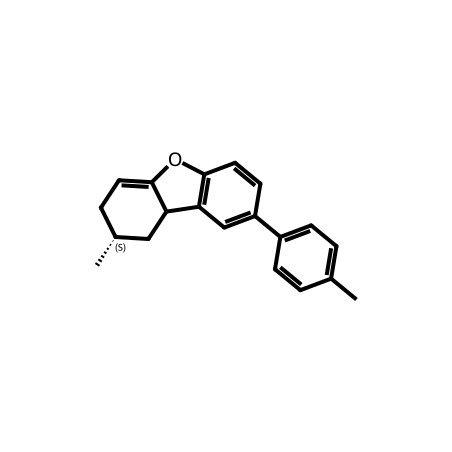 Cc1ccc(-c2ccc3c(c2)C2C[C@H](C)CC=C2O3)cc1